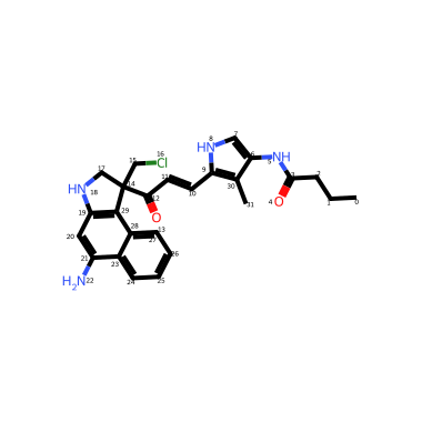 CCCC(=O)Nc1c[nH]c(C=CC(=O)C2(CCl)CNc3cc(N)c4ccccc4c32)c1C